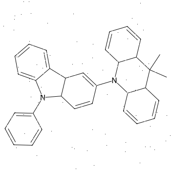 CC1(C)C2C=CC=CC2N(C2=CC3c4ccccc4N(c4ccccc4)C3C=C2)C2C=CC=CC21